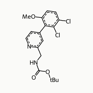 COc1ccc(Cl)c(Cl)c1-c1ccnc(CNC(=O)OC(C)(C)C)c1